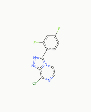 Fc1ccc(-c2nnc3c(Cl)nccn23)c(F)c1